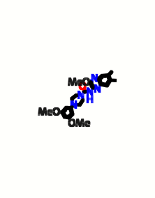 COc1cc(OC)cc(N2CCN(C(=O)Nc3nc4cc(C)c(C)cc4nc3OC)CC2)c1